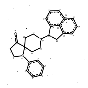 O=C1CCN(c2ccccc2)C12CCN(C1Cc3cccc4cccc1c34)CC2